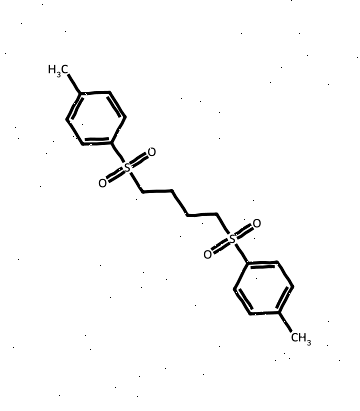 Cc1ccc(S(=O)(=O)CCCCS(=O)(=O)c2ccc(C)cc2)cc1